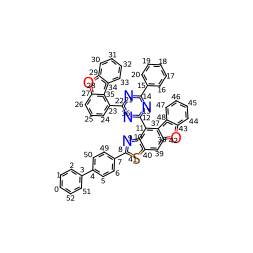 c1ccc(-c2ccc(-c3nc4c(-c5nc(-c6ccccc6)nc(-c6cccc7oc8ccccc8c67)n5)c5c(cc4s3)oc3ccccc35)cc2)cc1